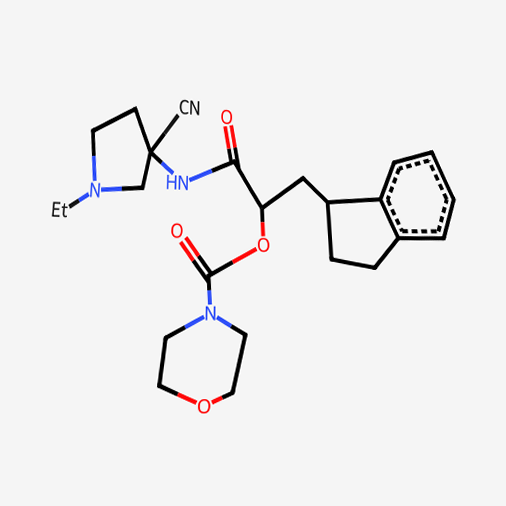 CCN1CCC(C#N)(NC(=O)C(CC2CCc3ccccc32)OC(=O)N2CCOCC2)C1